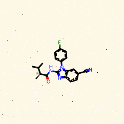 CC(C)[C@H](C)C(=O)Nc1nc2ccc(C#N)cc2n1-c1ccc(F)cc1